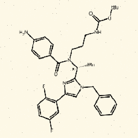 CC(C)(C)OC(=O)NCCCN(C(=O)c1ccc(N)cc1)[C@@H](c1nc(-c2cc(F)ccc2F)cn1Cc1ccccc1)C(C)(C)C